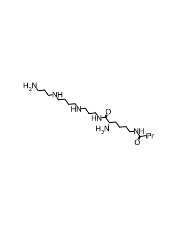 CC(C)C(=O)NCCCC[C@H](N)C(=O)NCCCNCCCCNCCCN